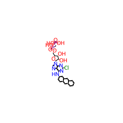 O=P(O)(O)CP(=O)(O)OCC1OC(n2cnc3c(Nc4ccc5cc6ccccc6cc5c4)nc(Cl)nc32)C(O)C1O